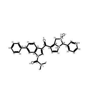 CN(C)C(=O)n1cc(C(=O)c2ccn3c2C[S+]([O-])C3c2cccnc2)c2ccc(-c3ccccc3)cc21